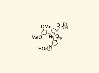 CCNC(=O)CN1CCc2c(-c3cc(OC)cc(OC)c3)nn(-c3cc(N4CC[C@H](O)C4)ccc3C(F)(F)F)c(=O)c21